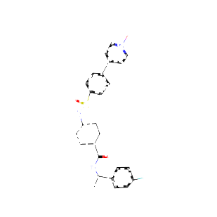 CC(NC(=O)C1CCC(NS(=O)(=O)c2ccc(-c3cc[n+]([O-])cc3)cc2)CC1)c1ccc(F)cc1